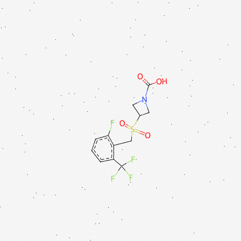 O=C(O)N1CC(S(=O)(=O)Cc2c(F)cccc2C(F)(F)F)C1